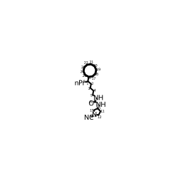 CCCC(CCCCNC(=O)N[C@@H]1CCN(C#N)C1)c1ccccccccc1